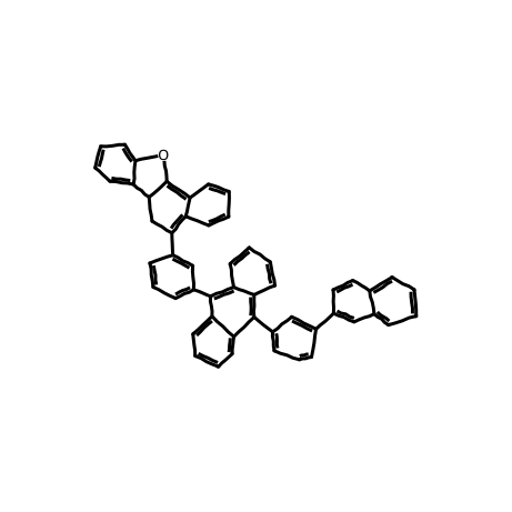 c1cc(C2=c3ccccc3=C3Oc4ccccc4C3C2)cc(-c2c3ccccc3c(-c3cccc(-c4ccc5ccccc5c4)c3)c3ccccc23)c1